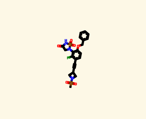 CS(=O)(=O)N1CC(C#Cc2ccc(OCc3ccccc3)c(N3CC(=O)NS3(=O)=O)c2F)C1